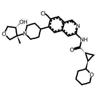 C[C@@]1(N2CCC(c3cc4cc(NC(=O)[C@@H]5C[C@H]5C5CCCCO5)ncc4cc3Cl)CC2)COC[C@@H]1O